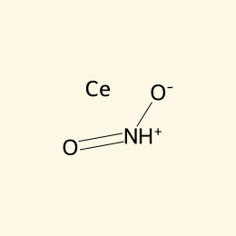 O=[NH+][O-].[Ce]